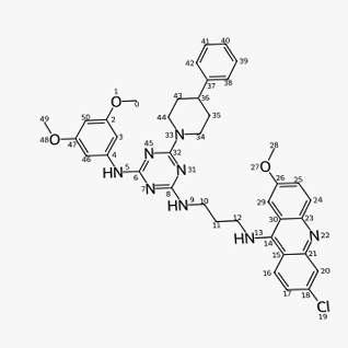 COc1cc(Nc2nc(NCCCNc3c4ccc(Cl)cc4nc4ccc(OC)cc34)nc(N3CCC(c4ccccc4)CC3)n2)cc(OC)c1